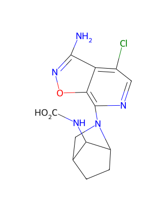 Nc1noc2c(N3CC4CCC3C4NC(=O)O)ncc(Cl)c12